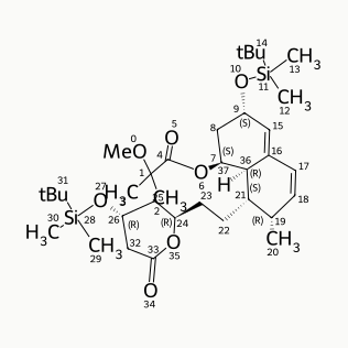 COC(C)(C)C(=O)O[C@H]1C[C@H](O[Si](C)(C)C(C)(C)C)C=C2C=C[C@H](C)[C@H](CC[C@@H]3C[C@@H](O[Si](C)(C)C(C)(C)C)CC(=O)O3)[C@H]21